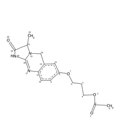 CC(=O)OCCCOc1ccc2c(c1)CN1C(=N2)NC(=O)C1C